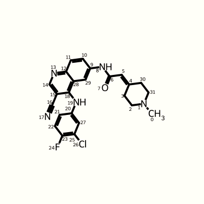 CN1CCC(=CC(=O)Nc2ccc3ncc(C#N)c(Nc4ccc(F)c(Cl)c4)c3c2)CC1